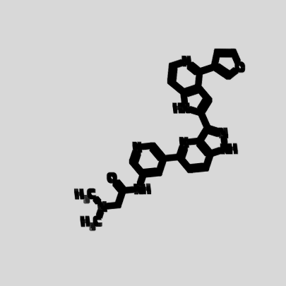 CN(C)CC(=O)Nc1cncc(-c2ccc3[nH]nc(-c4cc5c(-c6ccoc6)nccc5[nH]4)c3n2)c1